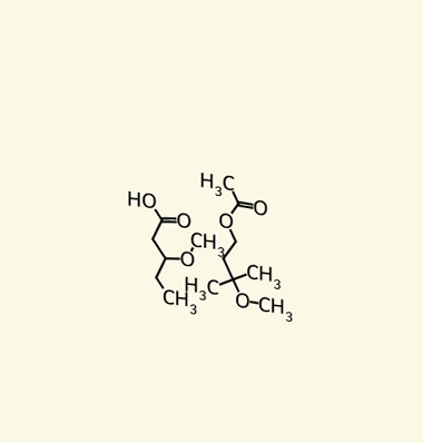 CCC(CC(=O)O)OC.COC(C)(C)CCOC(C)=O